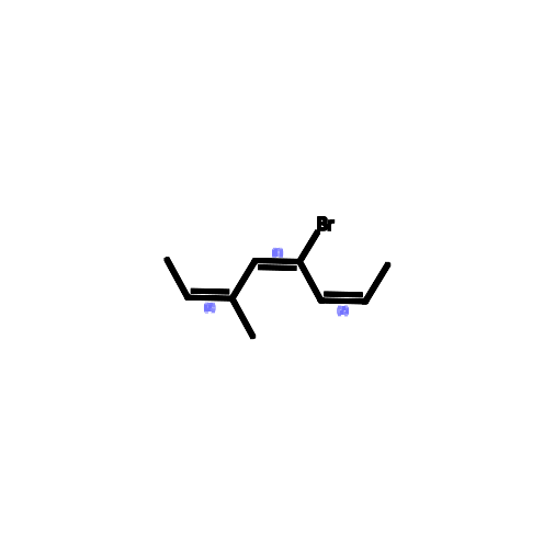 C\C=C/C(Br)=C\C(C)=C/C